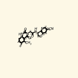 Cc1c(F)ccc2[nH]c(=O)n(CC(=O)N[C@H]3COc4cc(C#N)cnc43)c(=O)c12